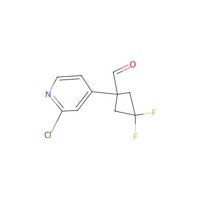 O=CC1(c2ccnc(Cl)c2)CC(F)(F)C1